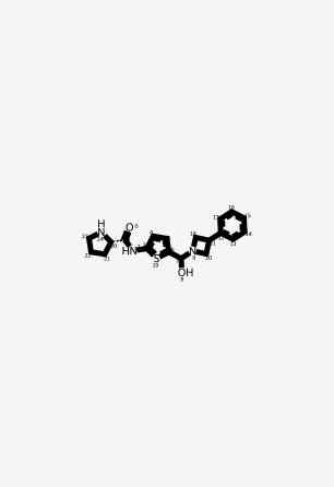 O=C(Nc1ccc(C(O)N2CC(c3ccccc3)C2)s1)[C@@H]1CCCN1